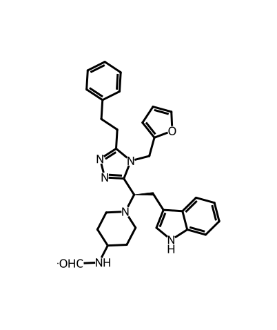 O=[C]NC1CCN([C@H](Cc2c[nH]c3ccccc23)c2nnc(CCc3ccccc3)n2Cc2ccco2)CC1